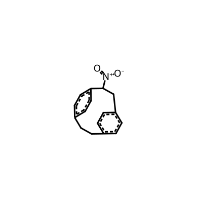 O=[N+]([O-])C1Cc2ccc(cc2)CCc2ccc1cc2